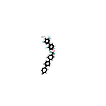 CC1CCC(c2ccc(C3CCC(C(F)(F)Oc4ccc(-c5cc(F)c(C#N)c(F)c5)c(F)c4)CC3)cc2)CC1